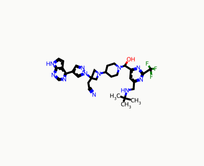 CC(C)(C)NCc1cc(C(O)N2CCC(N3CC(CC#N)(n4cc(-c5ncnc6[nH]ccc56)cn4)C3)CC2)nc(C(F)(F)F)n1